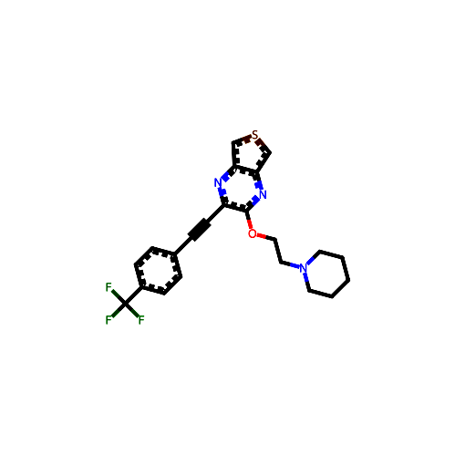 FC(F)(F)c1ccc(C#Cc2nc3cscc3nc2OCCN2CCCCC2)cc1